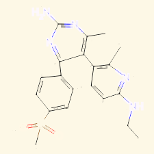 CCNc1ccc(-c2c(C)nc(N)nc2-c2ccc(S(C)(=O)=O)cc2)c(C)n1